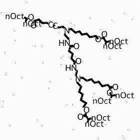 CCCCCCCCC(CCCCCCCC)OC(=O)CCCCCCCN(CCCCCCCOC(=O)C(CCCCCCCC)CCCCCCCC)CCNC(=O)CCCC(=O)NCCN(CCCCCCCOC(=O)C(CCCCCCCC)CCCCCCCC)CCCCCCCC(=O)OC(CCCCCCCC)CCCCCCCC